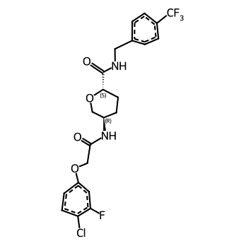 O=C(COc1ccc(Cl)c(F)c1)N[C@@H]1CC[C@@H](C(=O)NCc2ccc(C(F)(F)F)cc2)OC1